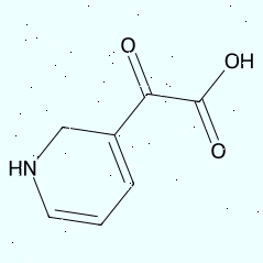 O=C(O)C(=O)C1=CC=CNC1